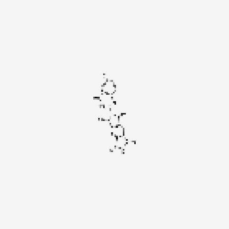 N#Cc1ccc2nc(C3C(=O)c4cc5c(cc4C3=O)C(=O)NC5=O)[nH]c(=O)c2c1